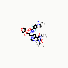 CC[C@@H](Nc1cc(F)c(C(=O)N[C@@H](Cc2ccc(-c3c(C)n(C)c(=O)n(C)c3=O)c3nccn23)C(=O)OC2CCOCC2)c(F)c1)C(F)(F)F